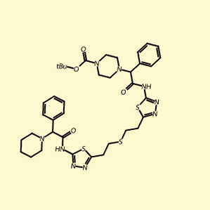 CC(C)(C)OC(=O)N1CCN(C(C(=O)Nc2nnc(CCSCCc3nnc(NC(=O)C(c4ccccc4)N4CCCCC4)s3)s2)c2ccccc2)CC1